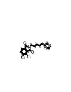 O=C1c2ccc(Cl)c(Cl)c2C(=O)N1CCCCCn1cncn1